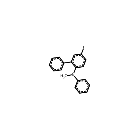 CN(c1ccccc1)c1ccc(F)cc1-c1ccccc1